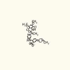 CCN1CCN(c2ccc(Nc3cc(N(C)C(=O)Nc4c(Cl)c(OC)cc(OC)c4Cl)ncn3)c([N+](=O)[O-])c2)CC1